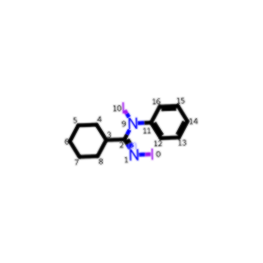 I/N=C(/C1CCCCC1)N(I)c1ccccc1